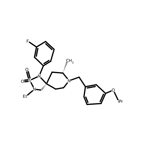 CCN1C[C@]2(CCN(Cc3cccc(OC(C)C)c3)[C@@H](C)C2)N(c2cccc(F)c2)S1(=O)=O